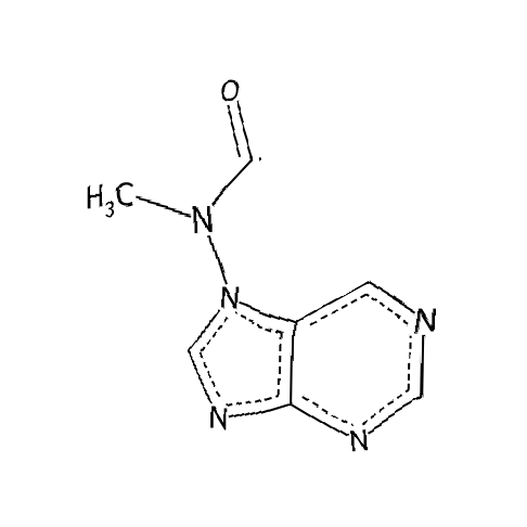 CN([C]=O)n1cnc2ncncc21